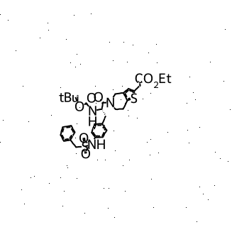 CCOC(=O)Cc1cc2c(s1)CCN(C(=O)[C@H](Cc1ccc(NS(=O)(=O)Cc3ccccc3)cc1)NC(=O)OC(C)(C)C)C2